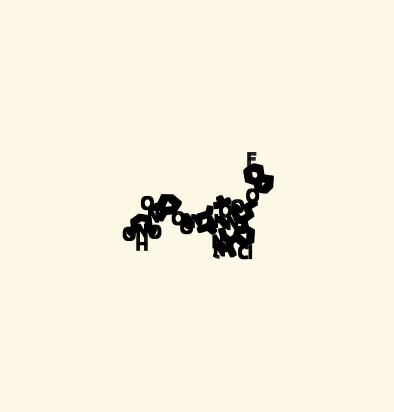 Cc1nn(C)c(C)c1-c1c(Cl)ccc2c(CCCOc3cccc4cc(F)ccc34)c(C(=O)OC(C)(C)C)n(CCN3C(C)CN(C(=O)COc4cccc5c4CN(C4CCC(=O)NC4=O)C5=O)CC3C)c12